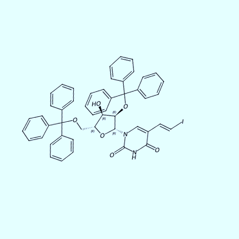 O=c1[nH]c(=O)n([C@@H]2O[C@H](COC(c3ccccc3)(c3ccccc3)c3ccccc3)[C@@H](O)[C@H]2OC(c2ccccc2)(c2ccccc2)c2ccccc2)cc1C=CI